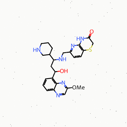 COc1cnc2cccc(C(O)CC(NCc3ccc4c(n3)NC(=O)CS4)C3CCCNC3)c2n1